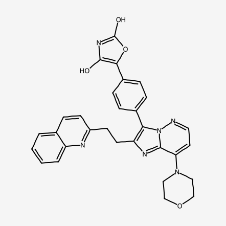 Oc1nc(O)c(-c2ccc(-c3c(CCc4ccc5ccccc5n4)nc4c(N5CCOCC5)ccnn34)cc2)o1